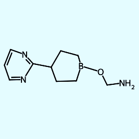 NCOB1CCC(c2ncccn2)CC1